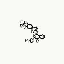 O=c1c2ccccc2c(Cc2nc3cc(OC(F)(F)F)c(Cl)cc3[nH]2)nn1C1CCNC1